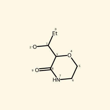 CCC([O])C1OCCNC1=O